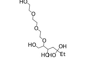 CCC(O)(O)CC(O)C(CO)OCCOCCOCCO